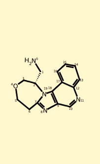 NC[C@H]1COCCc2nc3cnc4ccccc4c3n21